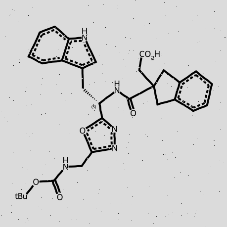 CC(C)(C)OC(=O)NCc1nnc([C@H](Cc2c[nH]c3ccccc23)NC(=O)C2(CC(=O)O)Cc3ccccc3C2)o1